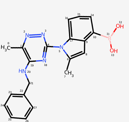 Cc1nnc(-n2c(C)cc3c(B(O)O)cccc32)nc1NCc1ccccc1